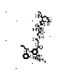 CCCCNc1cc(C(=O)OCC(=O)NCC(=O)NS(=O)(=O)c2cc3c(s2)S(=O)(=O)[C@@H](C)C[C@@H]3NCC)cc(S(N)(=O)=O)c1Oc1ccccc1